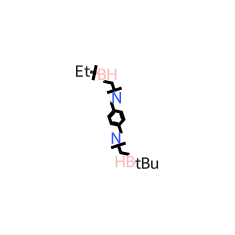 CCC(C)(C)BCCC(C)(C)/N=C/c1ccc(/C=N/C(C)(C)CCBC(C)(C)C)cc1